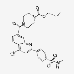 CCCOC(=O)N1CCN(C(=O)c2ccc3c(Cl)cc(-c4ccc(S(=O)(=O)NC)cc4)nc3c2)CC1